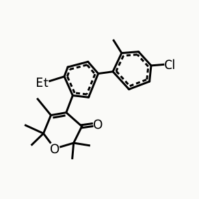 CCc1ccc(-c2ccc(Cl)cc2C)cc1C1=C(C)C(C)(C)OC(C)(C)C1=O